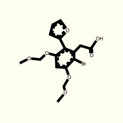 COCOc1cc(OCOC)c(-c2ccco2)c(CC(=O)O)c1Br